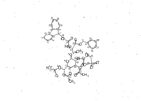 CC(=O)OCC1O[C@@H](O[C@H](C)[C@H](NC(=O)OCC2c3ccccc3-c3ccccc32)C(=O)OCc2ccccc2)C(NC(=O)OCC(Cl)(Cl)Cl)C(OC(C)=O)[C@@H]1OC(C)=O